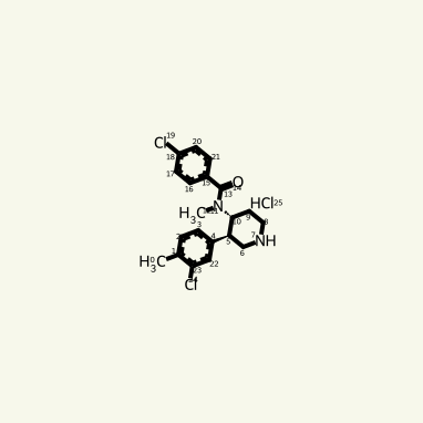 Cc1ccc([C@@H]2CNCC[C@H]2N(C)C(=O)c2ccc(Cl)cc2)cc1Cl.Cl